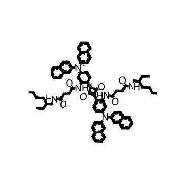 CCCCC(CC)CNC(=O)CCC(=O)NC1=CC(=[N+](c2ccc3ccccc3c2)c2ccc3ccccc3c2)C=C/C1=C1\C(=O)C(c2ccc(N(c3ccc4ccccc4c3)c3ccc4ccccc4c3)cc2NC(=O)CCC(=O)NCC(CC)CCCC)=C1[O-]